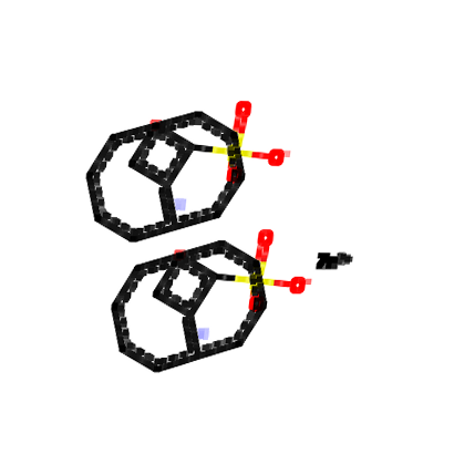 O=S(=O)([O-])c1ccccc/c2cccccc/c1=2.O=S(=O)([O-])c1ccccc/c2cccccc/c1=2.[Zn+2]